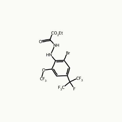 CCOC(=O)C(=O)NNc1c(Br)cc(C(F)(C(F)(F)F)C(F)(F)F)cc1OC(F)(F)F